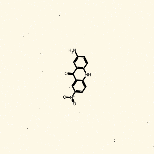 Nc1ccc2[nH]c3ccc([N+](=O)[O-])cc3c(=O)c2c1